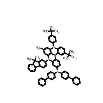 Cc1cc2c3c(c1)N(c1ccc4c(c1)C(C)(C)c1ccccc1-4)c1cc(N(c4ccc(-c5ccccc5)cc4)c4ccc(-c5ccccc5)cc4)ccc1B3c1cc(C(C)(C)C)ccc1N2c1ccc(C(C)(C)C)cc1